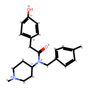 Cc1ccc(CN(C(=O)Cc2ccc(O)cc2)C2CCN(C)CC2)cc1